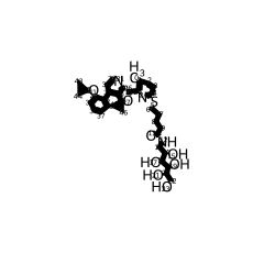 Cc1ccc(SCCCCC(=O)NC[C@H](O)[C@@H](O)[C@H](O)[C@H](O)CO)nc1COC1(c2cnccc2-c2ccccc2OC2CC2)CC1